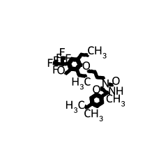 CCCc1cc2c(c(CCC)c1OCCCCN1C(=O)NC(C)(c3ccc(C(C)C)cc3)C1=O)COC2(C(F)(F)F)C(F)(F)F